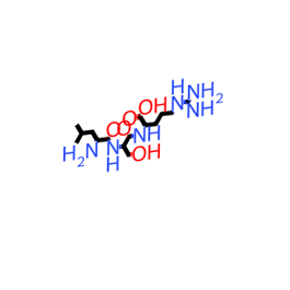 CC(C)CC(N)C(=O)NC(CO)C(=O)NC(CCCNC(=N)N)C(=O)O